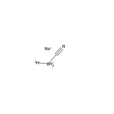 [2H][BH2-]C#N.[Na+]